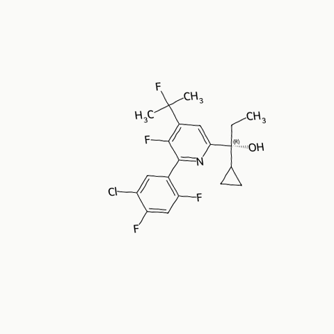 CC[C@](O)(c1cc(C(C)(C)F)c(F)c(-c2cc(Cl)c(F)cc2F)n1)C1CC1